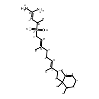 CC1=CCCC(C)C1(C)CC/C(C)=C/CC/C(C)=C/CS(=O)(=O)C(C)N=C(N)N